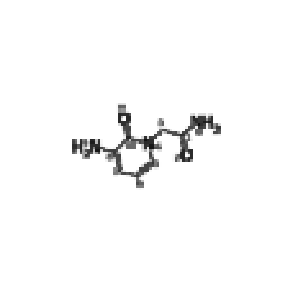 NC(=O)Cn1cccc(N)c1=O